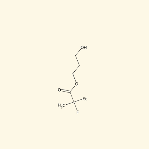 CCC(C)(F)C(=O)OCCCO